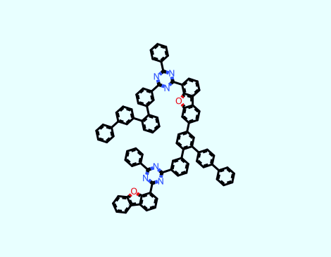 c1ccc(-c2ccc(-c3cc(-c4ccc5c(c4)oc4c(-c6nc(-c7ccccc7)nc(-c7cccc(-c8ccccc8-c8cccc(-c9ccccc9)c8)c7)n6)cccc45)ccc3-c3cccc(-c4nc(-c5ccccc5)nc(-c5cccc6c5oc5ccccc56)n4)c3)cc2)cc1